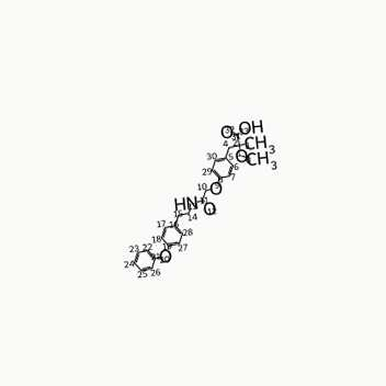 COC(C)(Cc1ccc(OCC(=O)NCCc2ccc(Oc3ccccc3)cc2)cc1)C(=O)O